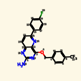 Nc1nc(OCc2ccc(C(F)(F)F)cc2)c2nc(-c3ccc(F)cc3)ccc2n1